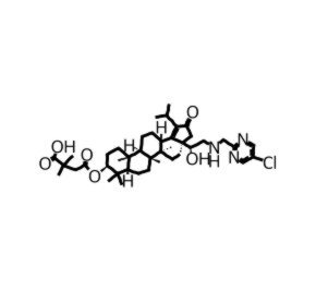 CC(C)C1=C2[C@H]3CC[C@@H]4[C@@]5(C)CC[C@H](OC(=O)CC(C)(C)C(=O)O)C(C)(C)[C@H]5CC[C@@]4(C)[C@]3(C)CC[C@@]2([C@@H](O)CNCc2ncc(Cl)cn2)CC1=O